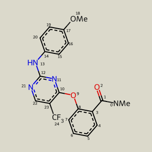 CNC(=O)c1ccccc1Oc1nc(Nc2ccc(OC)cc2)ncc1C(F)(F)F